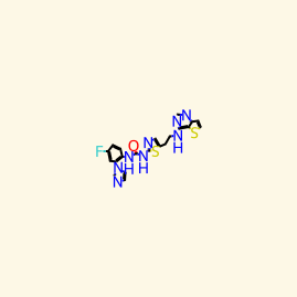 O=C(Nc1ncc(CCNc2ncnc3ccsc23)s1)Nc1ccc(F)cc1-n1ccnc1